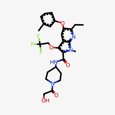 CCc1nc2c(cc1Oc1cccc(C)c1)c(OCC(F)(F)F)c(C(=O)NC1CCN(C(=O)CO)CC1)n2C